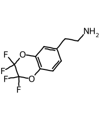 NCCc1ccc2c(c1)OC(F)(F)C(F)(F)O2